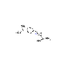 CCCCN(CCCC)c1ccc(/C=N/NC(=N)N)cc1